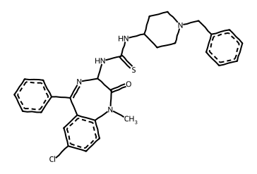 CN1C(=O)C(NC(=S)NC2CCN(Cc3ccccc3)CC2)N=C(c2ccccc2)c2cc(Cl)ccc21